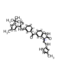 Cc1cc(N/C=C2\C(=O)Nc3ccc(C(=O)c4cccc(NC(=O)c5cc(C)nn5C(C)(C)C)c4)cc32)[nH]n1